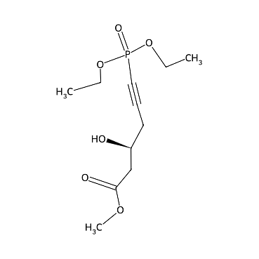 CCOP(=O)(C#CC[C@H](O)CC(=O)OC)OCC